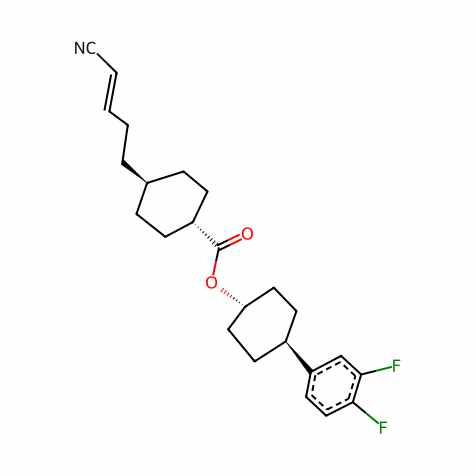 N#CC=CCC[C@H]1CC[C@H](C(=O)O[C@H]2CC[C@H](c3ccc(F)c(F)c3)CC2)CC1